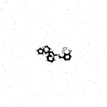 FC(F)(F)Oc1c(Br)cccc1C=NCCC1(c2ccccn2)CCOC2(CCCC2)C1